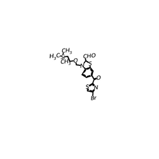 C[Si](C)(C)CCOCN1c2ccc(C(=O)c3nc(Br)cs3)cc2SC1C=O